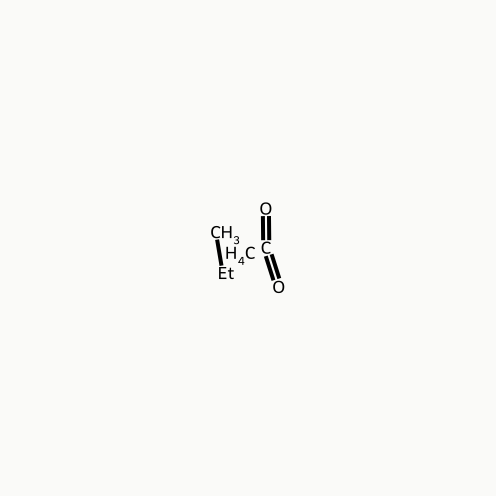 C.CCC.O=C=O